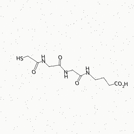 O=C(O)CCCNC(=O)CNC(=O)CNC(=O)CS